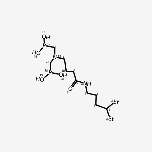 CCC(CC)CCCNC(=O)CCCN(CP(O)O)CP(O)O